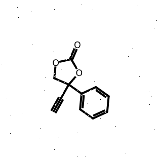 C#CC1(c2ccccc2)COC(=O)O1